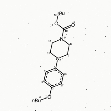 CCCCOc1ccc(N2CCN(C(=O)OC(C)(C)C)CC2)cc1